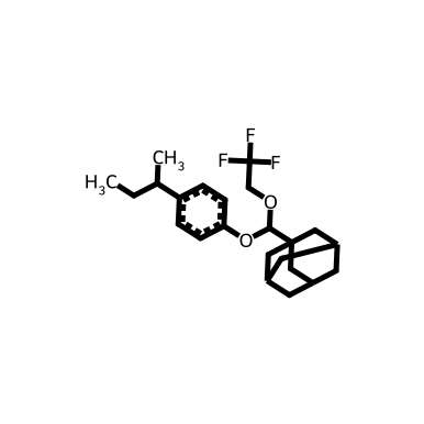 CCC(C)c1ccc(OC(OCC(F)(F)F)C23CC4CC(CC(C4)C2)C3)cc1